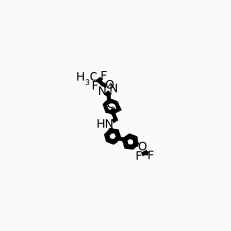 CC(F)(F)c1nc(C23CCC(CNc4cccc(-c5ccc(OC(F)F)cc5)c4)(CC2)CC3)no1